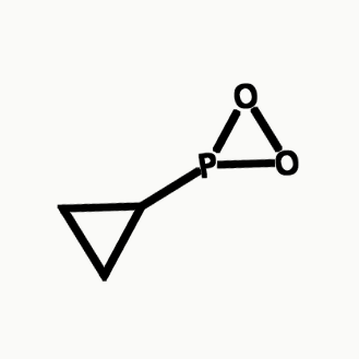 C1CC1p1oo1